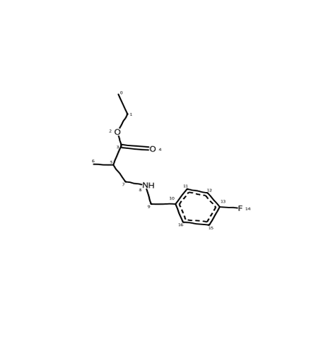 CCOC(=O)C(C)CNCc1ccc(F)cc1